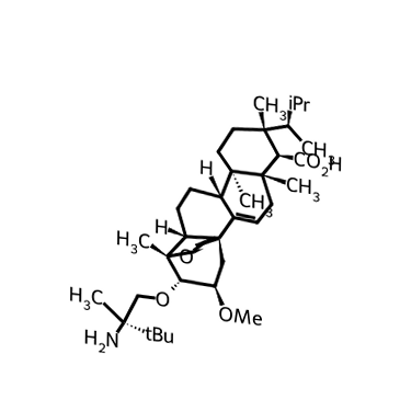 CO[C@@H]1C[C@@]23CCOC[C@@](C)([C@@H]2CC[C@H]2C3=CC[C@@]3(C)[C@H](C(=O)O)[C@@](C)([C@H](C)C(C)C)CC[C@]23C)[C@H]1OC[C@](C)(N)C(C)(C)C